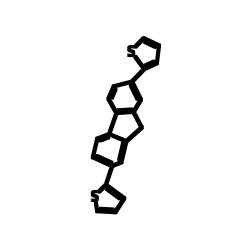 c1csc(-c2ccc3c(c2)Cc2cc(-c4cccs4)ccc2-3)c1